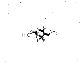 C=C(/N=C(Cl)\C(=C/N)C(F)(F)F)SC